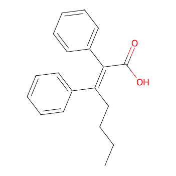 CCCCC(=C(C(=O)O)c1ccccc1)c1ccccc1